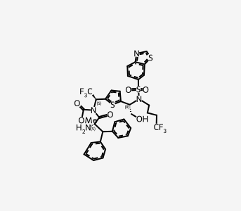 COC(=O)N(C(=O)[C@@H](N)C(c1ccccc1)c1ccccc1)[C@H](c1ccc([C@@H](CO)N(CCCC(F)(F)F)S(=O)(=O)c2ccc3ncsc3c2)s1)C(F)(F)F